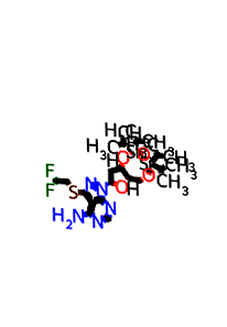 CC(C)[Si]1(C(C)C)OC[C@@H]2O[C@@H](n3nc(SCC(F)F)c4c(N)ncnc43)C[C@@H]2O[Si](C(C)C)(C(C)C)O1